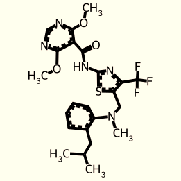 COc1ncnc(OC)c1C(=O)Nc1nc(C(F)(F)F)c(CN(C)c2ccccc2CC(C)C)s1